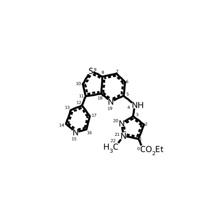 CCOC(=O)c1cc(Nc2ccc3scc(-c4ccncc4)c3n2)nn1C